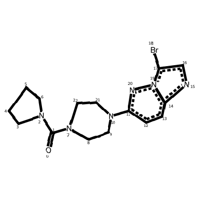 O=C(N1CCCC1)N1CCN(c2ccc3ncc(Br)n3n2)CC1